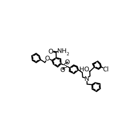 NC(=O)c1cc(S(=O)(=O)c2ccc(CCN(Cc3ccccc3)C[C@@H](O)c3cccc(Cl)c3)cc2)ccc1OCc1ccccc1